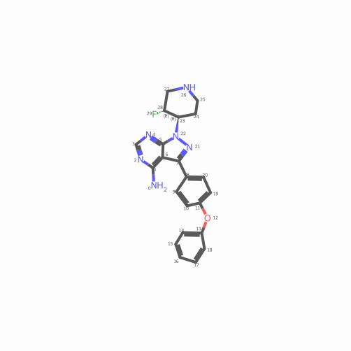 Nc1ncnc2c1c(-c1ccc(Oc3ccccc3)cc1)nn2[C@@H]1CCNC[C@H]1F